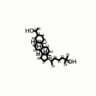 CC(O)C1CC[C@@]2(C)[C@@H](CC[C@@H]3[C@@H]2CC[C@]2(C)[C@@H](C(C)CCCC(C)(C)O)CC[C@@H]32)C1